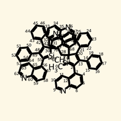 C[Si]1=C(c2cccc3ncccc23)C(c2ccccc2)=C(c2ccccc2)C1(CCC1(c2cccc3ncccc23)C(c2ccccc2)=C(c2ccccc2)C(c2cccc3ncccc23)=[Si]1C)c1cccc2ncccc12